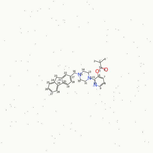 CC(C)C(=O)Oc1cccnc1N1CCN(Cc2ccc3c(c2)Cc2ccccc2-3)CC1